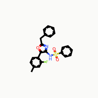 Cc1ccc(-c2oc(Cc3ccccc3)nc2NS(=O)(=O)c2ccccc2)c(F)c1